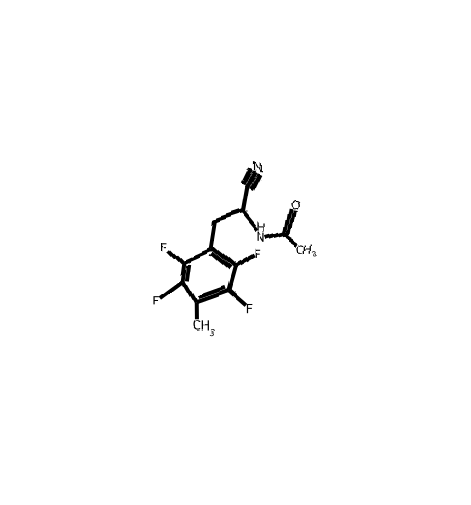 CC(=O)N[C](C#N)Cc1c(F)c(F)c(C)c(F)c1F